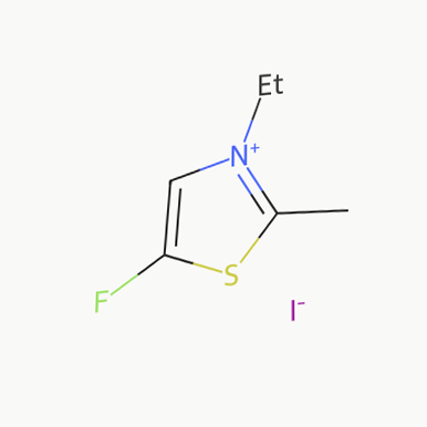 CC[n+]1cc(F)sc1C.[I-]